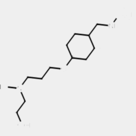 CCN(CCO)CCCOC1CCC(CNC(=O)O)CC1